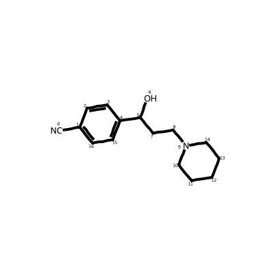 N#Cc1ccc(C(O)CCN2CCCCC2)cc1